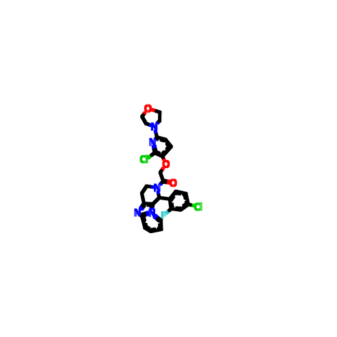 O=C(COc1ccc(N2CCOCC2)nc1Cl)N1CCc2nc3ccccn3c2C1c1ccc(Cl)cc1F